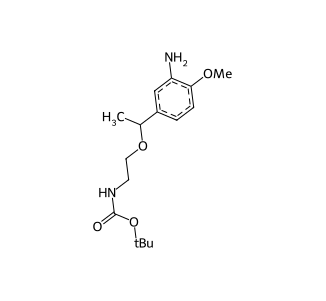 COc1ccc(C(C)OCCNC(=O)OC(C)(C)C)cc1N